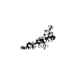 CC(C)(C)c1ccc(SCC2=C(C(=O)O)N3C(=O)[C@@H](NC(=O)C(NC(=O)NCC#N)c4cccs4)C3SC2)[n+]([O-])n1